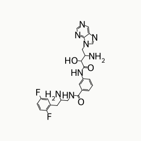 NC(CNC(=O)c1cccc(NC(=O)C(O)C(N)Cn2cnc3cncnc32)c1)Cc1cc(F)ccc1F